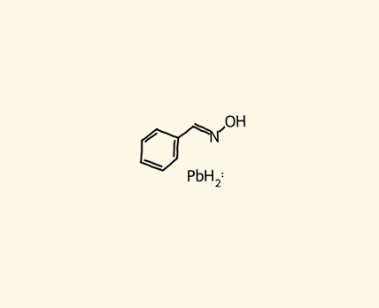 ON=Cc1ccccc1.[PbH2]